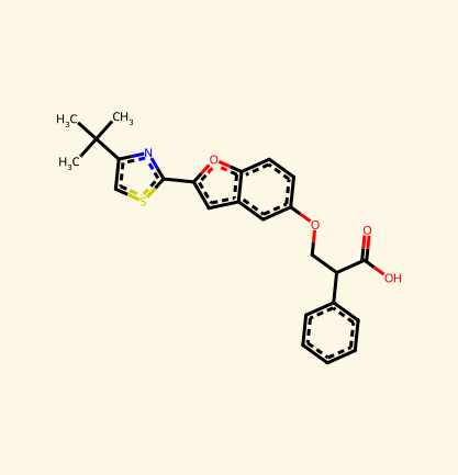 CC(C)(C)c1csc(-c2cc3cc(OCC(C(=O)O)c4ccccc4)ccc3o2)n1